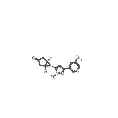 CCn1nc(-c2cncc(C(F)(F)F)c2)cc1[C@H]1[C@@H]2CC(=O)C[C@@H]21